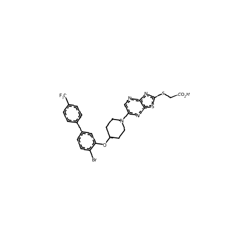 O=C(O)CSc1nc2ncc(N3CCC(Oc4cc(-c5ccc(C(F)(F)F)cc5)ccc4Br)CC3)nc2s1